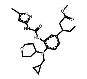 CCC(CC(=O)OC)c1ccc(N(CC2CC2)C2CCOCC2)c(NC(=O)Nc2cc(C)on2)c1